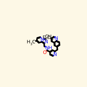 Cc1ccn2c(C)nc(CNC(=O)c3ccnc(Cc4ccc5ncc(C(F)(F)F)cc5c4)c3)c2c1